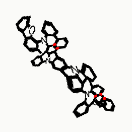 Cc1ccc2c(oc3ccccc32)c1N(c1ccccc1-c1ccccc1)c1ccc2c3cc4c(cc3n3c5ccccc5c1c23)c1ccc(N(c2ccccc2-c2ccccc2)c2c(C)ccc3c2oc2ccccc23)c2c3ccccc3n4c12